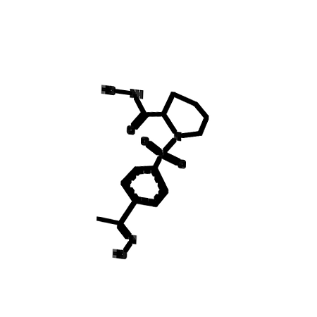 CC(=NO)c1ccc(S(=O)(=O)N2CCCCC2C(=O)NO)cc1